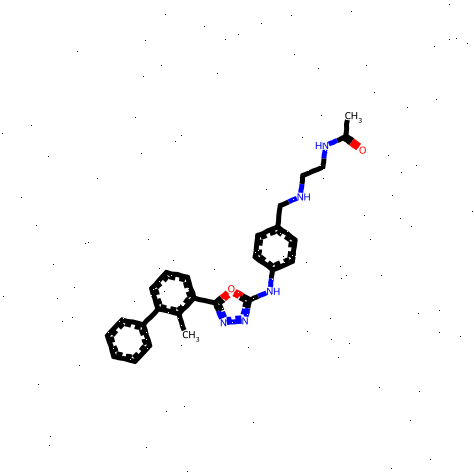 CC(=O)NCCNCc1ccc(Nc2nnc(-c3cccc(-c4ccccc4)c3C)o2)cc1